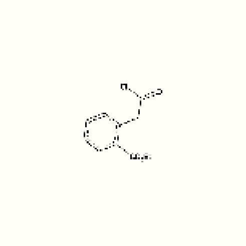 CCOC(=O)c1ccccc1CC(=O)Cl